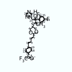 C[C@@H](SC1COC(C=CC=Cc2ccc([S+]([O-])C(F)(F)F)cc2)OC1)[C@](O)(Cn1cncn1)c1ccc(F)cc1F